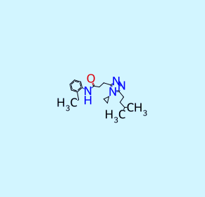 CCc1ccccc1NC(=O)CCc1nnc(CCC(C)C)n1C1CC1